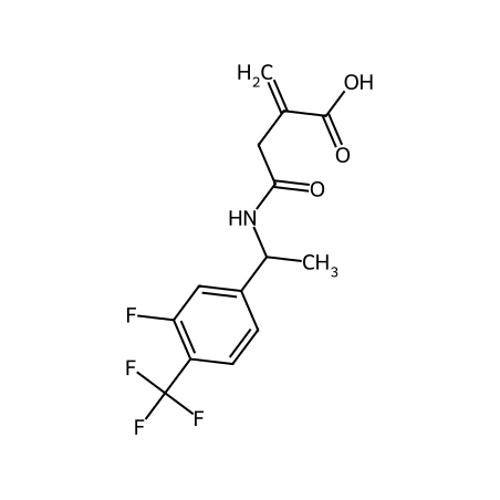 C=C(CC(=O)NC(C)c1ccc(C(F)(F)F)c(F)c1)C(=O)O